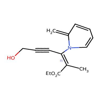 C=C1C=CC=CN1/C(C#CCO)=C(\C)C(=O)OCC